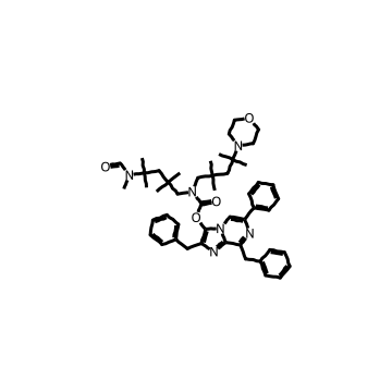 CN(C=O)C(C)(C)CC(C)(C)CN(CC(C)(C)CC(C)(C)N1CCOCC1)C(=O)Oc1c(Cc2ccccc2)nc2c(Cc3ccccc3)nc(-c3ccccc3)cn12